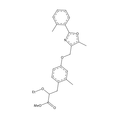 CCOC(Cc1ccc(OCc2nc(-c3ccccc3C)oc2C)cc1C)C(=O)OC